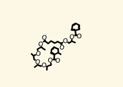 CC(COC(=O)C1=CC=CCC1C)OCC(C)OCC(C)OCC(C)OC(=O)CCCCC(=O)OCC(C)OC(=O)c1ccccc1